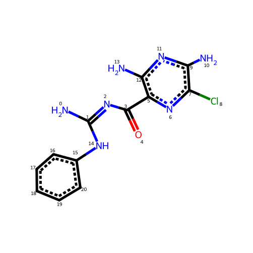 N/C(=N/C(=O)c1nc(Cl)c(N)nc1N)Nc1ccccc1